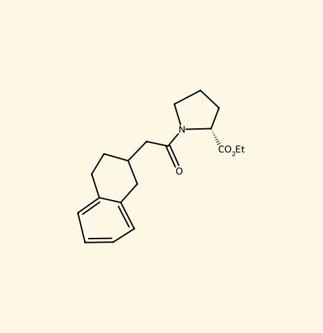 CCOC(=O)[C@H]1CCCN1C(=O)CC1CCc2ccccc2C1